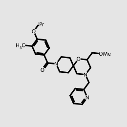 COCC1CN(Cc2ccccn2)CC2(CCN(C(=O)c3ccc(OC(C)C)c(C)c3)CC2)O1